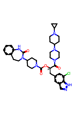 O=C(O[C@H](Cc1cc(Cl)c2[nH]ncc2c1)C(=O)N1CCN(C2CCN(C3CC3)CC2)CC1)N1CCC(N2CCc3ccccc3NC2=O)CC1